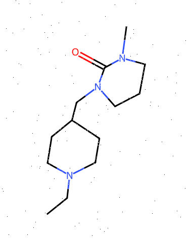 CCN1CCC(CN2CCCN(C)C2=O)CC1